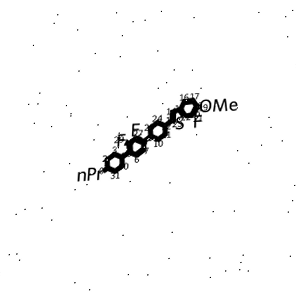 CCCC1CCC(c2ccc(C3CCC(c4cc5ccc(OC)c(F)c5s4)CC3)c(F)c2F)CC1